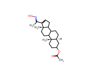 CC(=O)OC1CC[C@]2(C)C3CC[C@]4(C)C(/C(C)=N/O)=CCC4C3CC[C@H]2C1